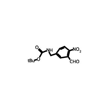 CC(C)(C)OC(=O)NCc1ccc([N+](=O)[O-])c(C=O)c1